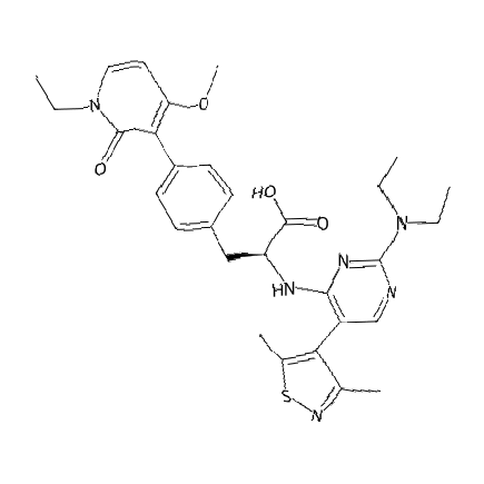 CCN(CC)c1ncc(-c2c(C)nsc2C)c(N[C@@H](Cc2ccc(-c3c(OC)ccn(CC)c3=O)cc2)C(=O)O)n1